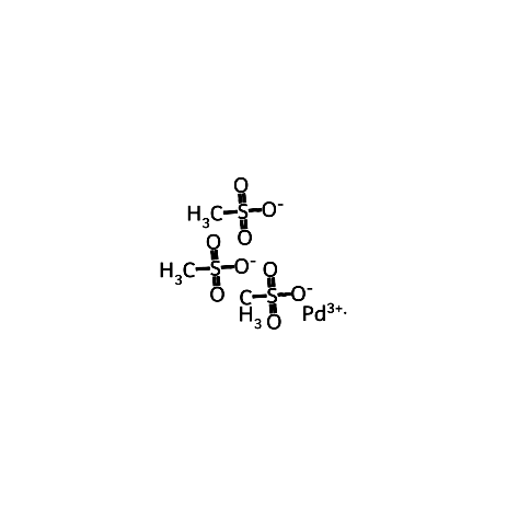 CS(=O)(=O)[O-].CS(=O)(=O)[O-].CS(=O)(=O)[O-].[Pd+3]